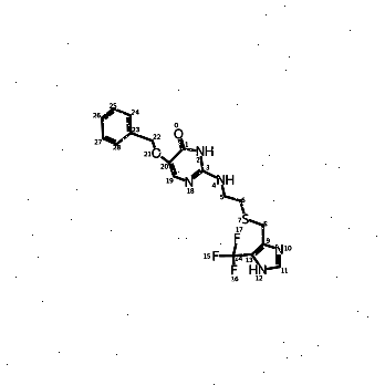 O=c1[nH]c(NCCSCc2nc[nH]c2C(F)(F)F)ncc1OCc1ccccc1